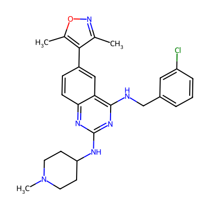 Cc1noc(C)c1-c1ccc2nc(NC3CCN(C)CC3)nc(NCc3cccc(Cl)c3)c2c1